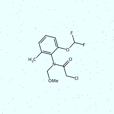 COCN(C(=O)CCl)c1c(C)cccc1OC(F)F